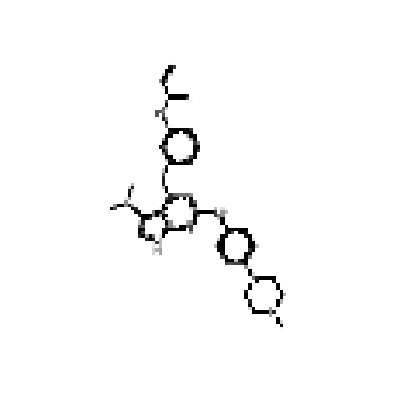 C=CC(=O)Nc1cccc(Oc2nc(Nc3ccc(N4CCN(C)CC4)cc3)nc3[nH]cc(N(C)C)c23)c1